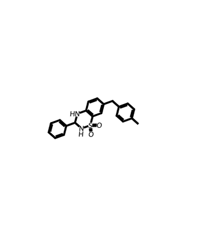 Cc1ccc(Cc2ccc3c(c2)S(=O)(=O)NC(c2ccccc2)N3)cc1